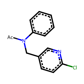 CC(=O)N(Cc1ccc(Cl)nc1)c1ccccc1